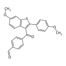 COc1ccc(-c2sc3cc(OC)ccc3c2C(=O)c2ccc(C=O)cc2)cc1